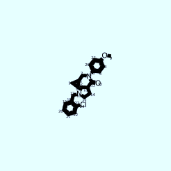 COc1ccc(N(CC2CC2)C(=O)C2CCN(Cc3ccccc3Cl)C2)cc1